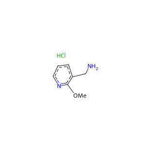 COc1ncccc1CN.Cl